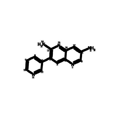 Nc1cnc2cc(-c3cccnc3)c(N)nc2c1